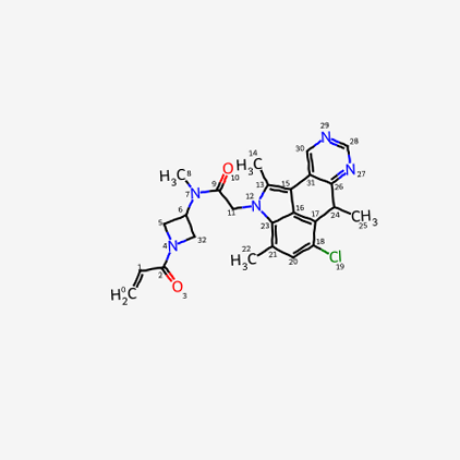 C=CC(=O)N1CC(N(C)C(=O)Cn2c(C)c3c4c(c(Cl)cc(C)c42)C(C)c2ncncc2-3)C1